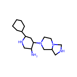 NC1CNC(C2CCCCC2)CC1N1CCN2CNCC2C1